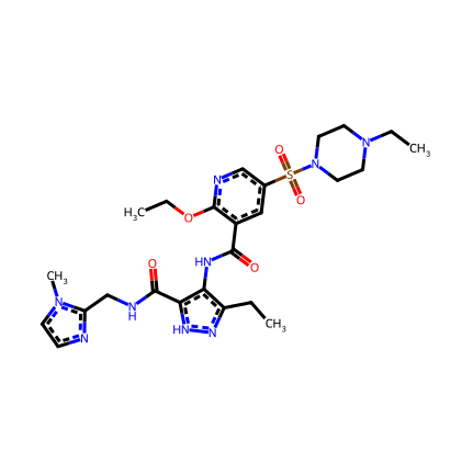 CCOc1ncc(S(=O)(=O)N2CCN(CC)CC2)cc1C(=O)Nc1c(CC)n[nH]c1C(=O)NCc1nccn1C